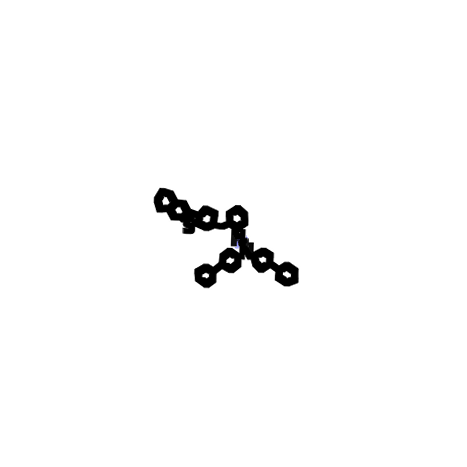 C(=N\c1ccccc1Cc1ccc2c(c1)sc1cc3ccccc3cc12)/N(c1ccc(-c2ccccc2)cc1)c1ccc(-c2ccccc2)cc1